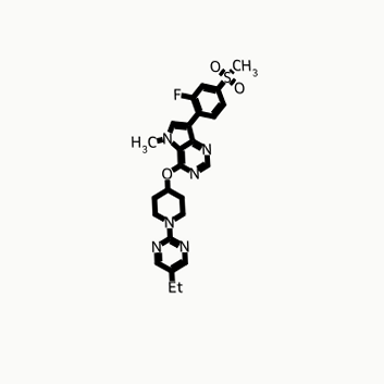 CCc1cnc(N2CCC(Oc3ncnc4c(-c5ccc(S(C)(=O)=O)cc5F)cn(C)c34)CC2)nc1